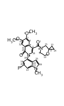 COc1cc2c(C(=O)N3CCOC4(CC4)C3)cn(-c3cc(F)cc4c3ccn4C)c(=O)c2cc1OC